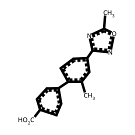 Cc1nc(-c2ccc(-c3ccc(C(=O)O)cc3)c(C)c2)no1